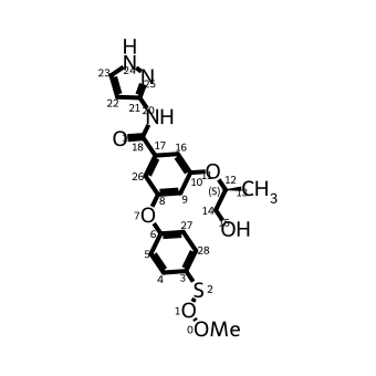 COOSc1ccc(Oc2cc(O[C@@H](C)CO)cc(C(=O)Nc3cc[nH]n3)c2)cc1